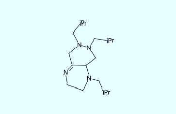 CC(C)CN1CCN=C2CN(CC(C)C)N(CC(C)C)CC21